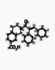 O=C(O)c1ccc2c(c1)CN(C(=O)C(=Cc1ccccc1)c1ccccc1)CC2